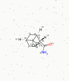 CC1(C)[C@H]2CC[C@@H](C(N)=O)[C@@H]1C2